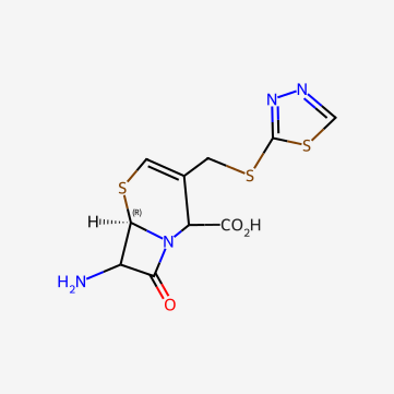 NC1C(=O)N2C(C(=O)O)C(CSc3nncs3)=CS[C@H]12